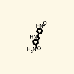 NC(=O)c1ccc2[nH]c(-c3ccc(NC=O)cc3)cc2c1